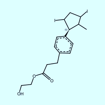 CC1C(I)CC(I)[C@@H]1c1ccc(CCC(=O)OCCO)cc1